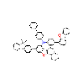 CC1(C)c2ccccc2-c2ccc(-c3cc(N(c4ccc(-c5ccccc5)cc4)c4ccc(-c5cccc6c5oc5ccccc56)cc4)c4c(c3)oc3c5ccccc5ccc34)cc21